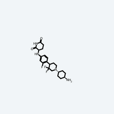 N[C@H]1CC[C@H](N2CCC(c3ccc(NC4CCC(=O)NC4=O)cc3F)C(F)(F)C2)CC1